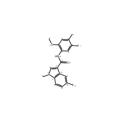 COc1cc(C)c(F)cc1NC(=O)c1cn(C)c2ccc(F)cc12